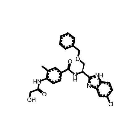 Cc1cc(C(=O)N[C@@H](COCc2ccccc2)c2nc3cc(Cl)ccc3[nH]2)ccc1NC(=O)CO